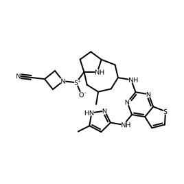 Cc1cc(Nc2nc(NC3CC(C)CC4([S+]([O-])N5CC(C#N)C5)CCC(C3)N4)nc3sccc23)n[nH]1